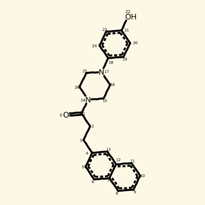 O=C(CCc1ccc2ccccc2c1)N1CCN(c2ccc(O)cc2)CC1